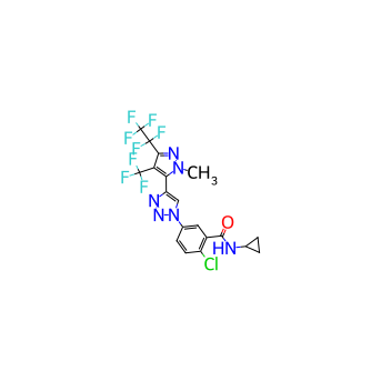 Cn1nc(C(F)(F)C(F)(F)F)c(C(F)(F)F)c1-c1cn(-c2ccc(Cl)c(C(=O)NC3CC3)c2)nn1